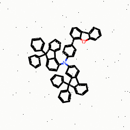 c1ccc(C2(c3ccccc3)c3ccccc3-c3ccc(N(c4ccc(-c5cccc6c5oc5ccccc56)cc4)c4cccc5c4-c4ccccc4C5(c4ccccc4)c4ccccc4)cc32)cc1